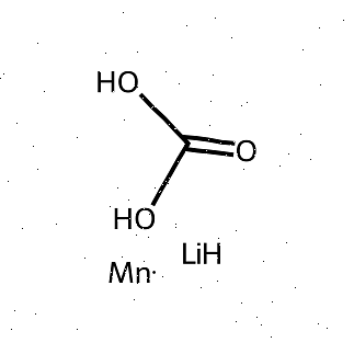 O=C(O)O.[LiH].[Mn]